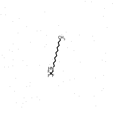 CCCCCCCCCCCCNCC(F)(F)F